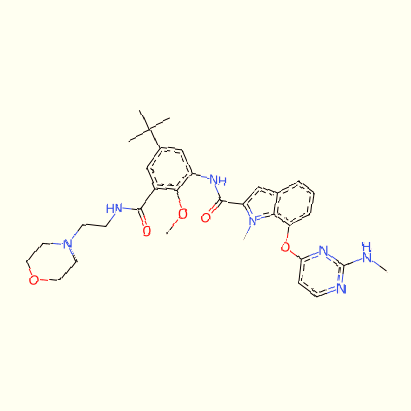 CNc1nccc(Oc2cccc3cc(C(=O)Nc4cc(C(C)(C)C)cc(C(=O)NCCN5CCOCC5)c4OC)n(C)c23)n1